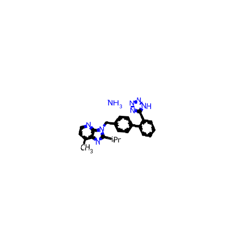 Cc1ccnc2c1nc(C(C)C)n2Cc1ccc(-c2ccccc2-c2nnn[nH]2)cc1.N